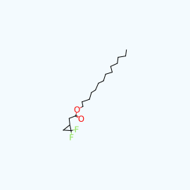 CCCCCCCCCCCCCCOC(=O)CC1CC1(F)F